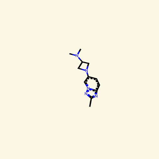 Cc1nc2ccc(N3CC(N(C)C)C3)cn2n1